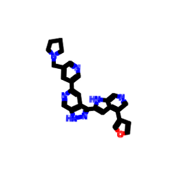 c1cc(-c2cncc3[nH]c(-c4n[nH]c5cnc(-c6cncc(CN7CCCC7)c6)cc45)cc23)co1